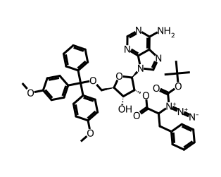 COc1ccc(C(OC[C@H]2O[C@@H](n3cnc4c(N)ncnc43)[C@H](OC(=O)C(Cc3ccccc3)[N+](=[N+]=[N-])C(=O)OC(C)(C)C)[C@@H]2O)(c2ccccc2)c2ccc(OC)cc2)cc1